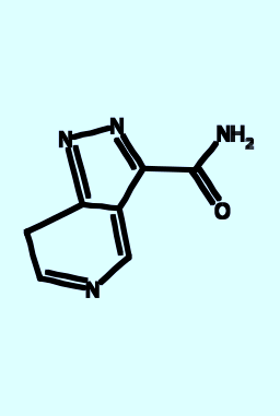 NC(=O)C1=NN=C2CC=NC=C21